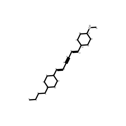 CCCCC1CCC(C=CC#CC=CC2CCC(OC)CC2)CC1